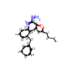 CCCCc1cc2c(o1)c(N)nc1cccc(Cc3ccccc3)c12